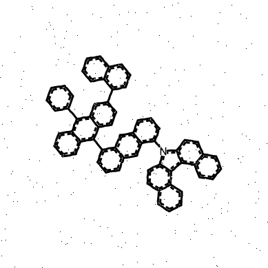 c1ccc(-c2c3ccccc3c(-c3cccc4cc5c(-n6c7ccc8ccccc8c7c7c8ccccc8ccc76)cccc5cc34)c3ccc(-c4cccc5ccccc45)cc23)cc1